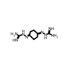 N=C(N)NN=C1CCC(=NNC(=N)N)CC1